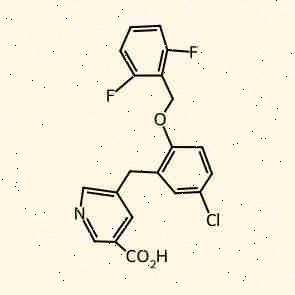 O=C(O)c1cncc(Cc2cc(Cl)ccc2OCc2c(F)cccc2F)c1